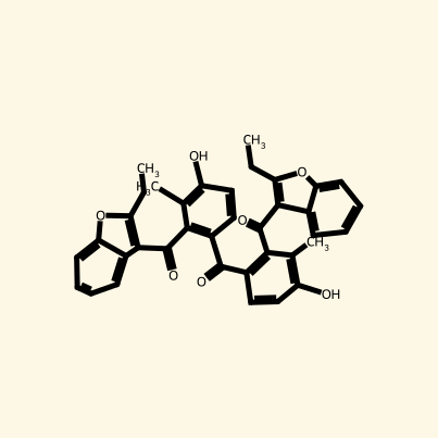 CCc1oc2ccccc2c1C(=O)c1c(C(=O)c2ccc(O)c(C)c2C(=O)c2c(CC)oc3ccccc23)ccc(O)c1C